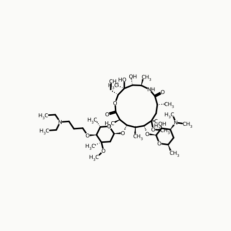 CC[C@H]1OC(=O)[C@H](C)[C@@H](O[C@H]2C[C@@](C)(OC)[C@@H](OCCCN(CC)CC)[C@H](C)O2)[C@H](C)[C@@H](O[C@@H]2O[C@H](C)C[C@H](N(C)C)[C@H]2O)[C@](C)(OC)C[C@@H](C)C(=O)N[C@H](C)[C@@H](O)[C@]1(C)O